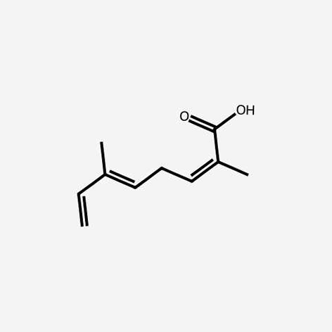 C=CC(C)=CCC=C(C)C(=O)O